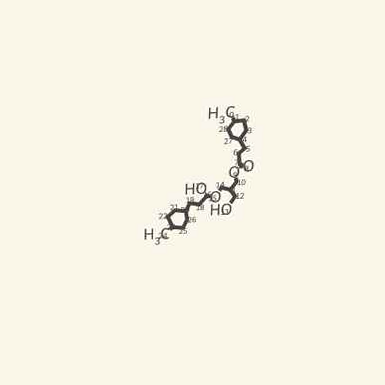 CC1CCC(CCC(=O)OCC(CO)COC(O)CCC2CCC(C)CC2)CC1